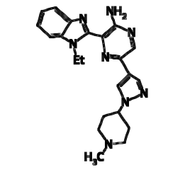 CCn1c(-c2nc(-c3cnn(C4CCN(C)CC4)c3)cnc2N)nc2ccccc21